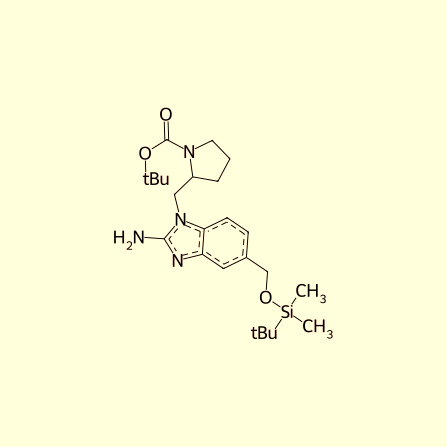 CC(C)(C)OC(=O)N1CCCC1Cn1c(N)nc2cc(CO[Si](C)(C)C(C)(C)C)ccc21